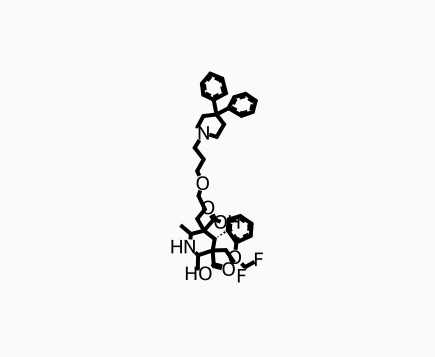 CCC1(C(=O)O)C(C)NC(C)C(CCCOCCCN2CCC(c3ccccc3)(c3ccccc3)CC2)(C(=O)O)[C@@H]1c1ccccc1OC(F)F